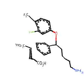 NCCCCC(Oc1ccc(C(F)(F)F)c(F)c1)c1ccccc1.O=C(O)C=CC(=O)O